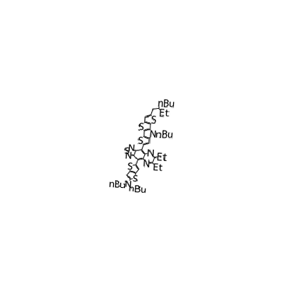 CCCCC(CC)Cc1cc2sc3c4sc(-c5c6nsnc6c(-c6cc7sc(N(CCCC)CCCC)cc7s6)c6nc(CC)c(CC)nc56)cc4n(CCCC)c3c2s1